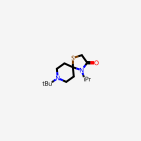 CC(C)N1C(=O)CSC12CCN(C(C)(C)C)CC2